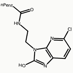 CCCCCC(=O)NCCn1c(O)nc2ccc(Cl)nc21